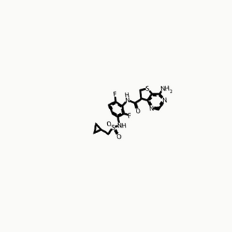 Nc1ncnc2c1SCC2C(=O)Nc1c(F)ccc(NS(=O)(=O)CC2CC2)c1F